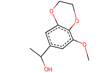 COc1cc(C(C)O)cc2c1OCCO2